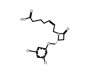 O=C(O)CCC/C=C\CN1C(=O)C[C@@H]1COc1cc(Cl)cc(Cl)c1